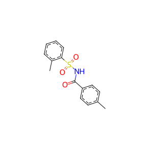 Cc1ccc(C(=O)NS(=O)(=O)c2ccccc2C)cc1